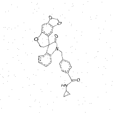 O=C(NC1CC1)c1ccc(CN2C(=O)C3(COc4cc5c(cc43)OCO5)c3ccccc32)cc1